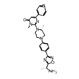 C[C@@H]1CN(c2ccc(-c3noc([C@@H](C)N)n3)cc2)CCN1c1nc(-c2ccncc2)cc(=O)n1C